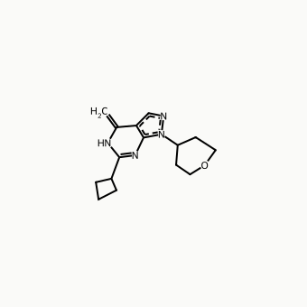 C=C1NC(C2CCC2)=Nc2c1cnn2C1CCOCC1